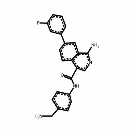 NCc1ccc(NC(=O)c2cnc(N)c3cc(-c4cccc(F)c4)ccc23)cc1